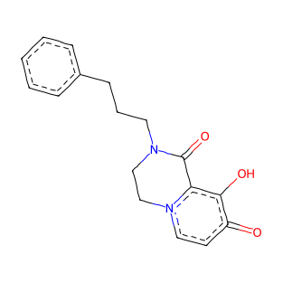 O=C1c2c(O)c(=O)ccn2CCN1CCCc1ccccc1